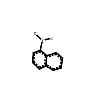 [O-][S+](Cl)c1cccc2ccccc12